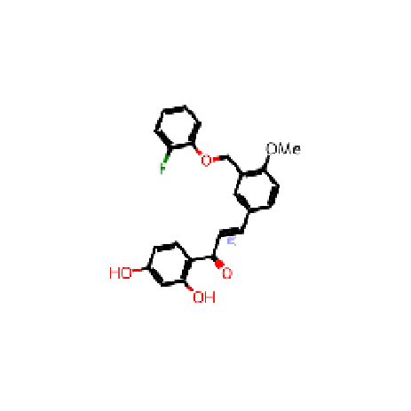 COc1ccc(/C=C/C(=O)c2ccc(O)cc2O)cc1COc1ccccc1F